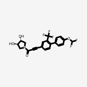 O=C(C#Cc1ccc(-c2ccc(OC(F)F)cc2)c(C(F)(F)F)c1)N1C[C@@H](O)[C@H](O)C1